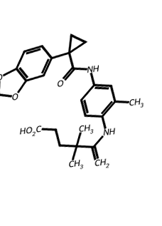 C=C(Nc1ccc(NC(=O)C2(c3ccc4c(c3)OCO4)CC2)cc1C)C(C)(C)CCC(=O)O